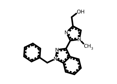 Cn1cc(CO)nc1-c1nn(Cc2ccccc2)c2ccccc12